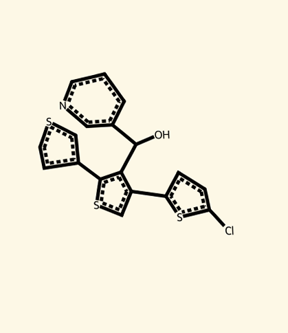 OC(c1cccnc1)c1c(-c2ccc(Cl)s2)csc1-c1ccsc1